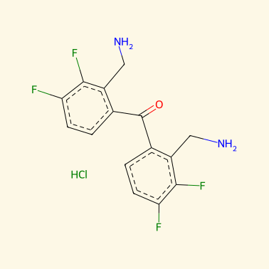 Cl.NCc1c(C(=O)c2ccc(F)c(F)c2CN)ccc(F)c1F